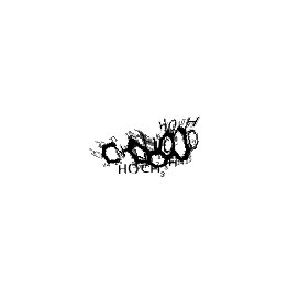 C[C@]12CC[C@H]3[C@@H](C[C@@H]4O[C@@]45C[C@H]4OC4C[C@]35C)[C@@H]1C[C@H](N1CCCCC1)[C@@H]2O